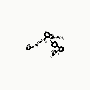 CCOc1nc2cccc(C(=O)OCOC(=O)OCc3ccno3)c2n1Cc1ccc(-c2ccccc2-c2noc(=O)[nH]2)cc1